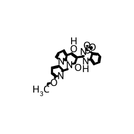 CCOc1cccc(Cn2c(=O)c(C3=NS(=O)(=O)c4ccccc4N3)c(O)c3cccnc32)n1